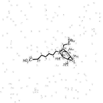 CCCCSC[C@@H]1[C@H](CCCCCCC(=O)O)[C@H]2O[C@@H]1[C@H]1O[C@H]12